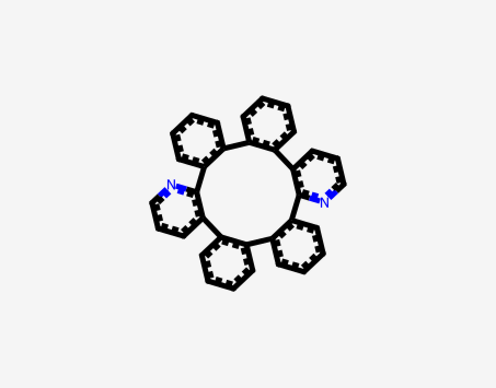 c1ccc2c(c1)-c1ccccc1-c1ncccc1-c1ccccc1-c1ccccc1-c1ncccc1-2